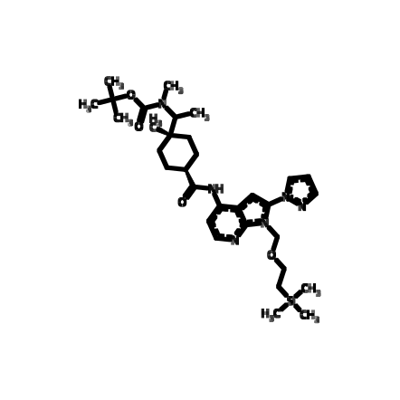 CC(N(C)C(=O)OC(C)(C)C)[C@]1(C)CC[C@@H](C(=O)Nc2ccnc3c2cc(-n2cccn2)n3COCC[Si](C)(C)C)CC1